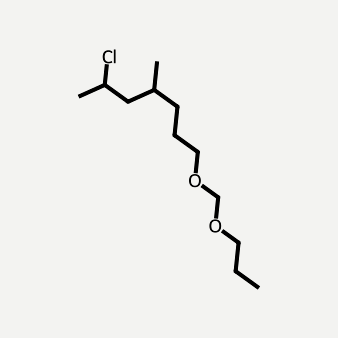 CCCOCOCCCC(C)CC(C)Cl